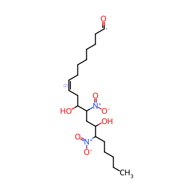 CCCCCC(C(O)CC(C(O)C/C=C\CCCCCC[C]=O)[N+](=O)[O-])[N+](=O)[O-]